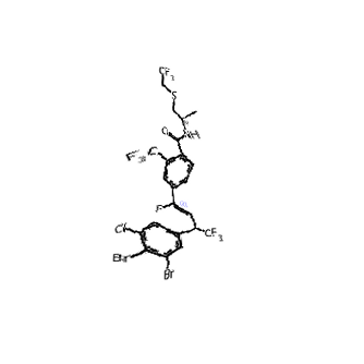 C[C@H](CSCC(F)(F)F)NC(=O)c1ccc(/C(F)=C/C(c2cc(Cl)c(Br)c(Br)c2)C(F)(F)F)cc1C(F)(F)F